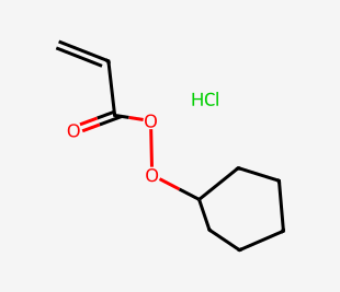 C=CC(=O)OOC1CCCCC1.Cl